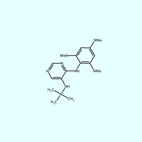 CNc1cc(NC)c(Nc2ncncc2N[N+](C)(C)C)c(NC)c1